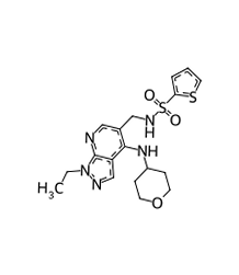 CCn1ncc2c(NC3CCOCC3)c(CNS(=O)(=O)c3cccs3)cnc21